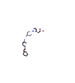 O=C1NC(=O)/C(=C\c2ccnc(N3CCC(CNCc4ccc(-c5cc6ccccc6o5)nc4)CC3)n2)S1